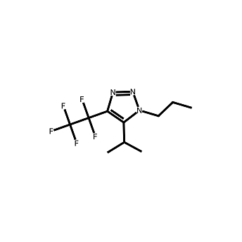 CCCn1nnc(C(F)(F)C(F)(F)F)c1C(C)C